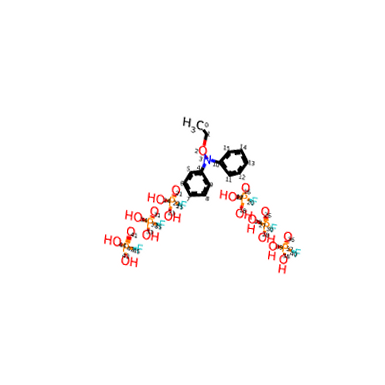 CCON(c1ccccc1)c1ccccc1.O=P(O)(O)F.O=P(O)(O)F.O=P(O)(O)F.O=P(O)(O)F.O=P(O)(O)F.O=P(O)(O)F